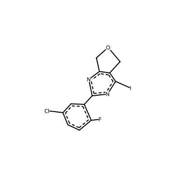 Fc1ccc(Cl)cc1-c1nc(I)c2c(n1)COC2